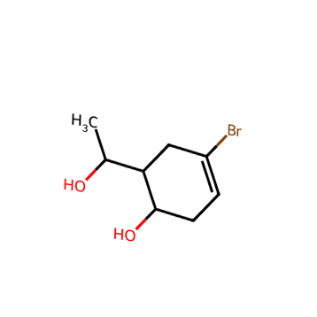 CC(O)C1CC(Br)=CCC1O